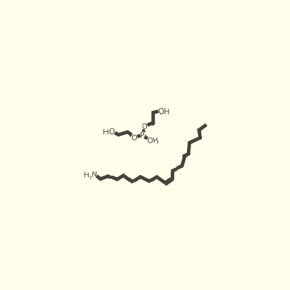 CCCCCCCC/C=C\CCCCCCCCN.OCCOP(O)OCCO